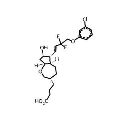 O=C(O)CCC[C@H]1CC[C@@H]2[C@@H](C=CC(F)(F)COc3cccc(Cl)c3)[C@H](O)C[C@@H]2OC1